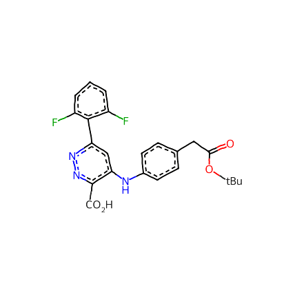 CC(C)(C)OC(=O)Cc1ccc(Nc2cc(-c3c(F)cccc3F)nnc2C(=O)O)cc1